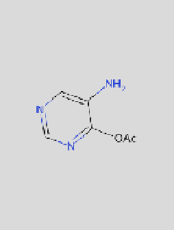 CC(=O)Oc1ncncc1N